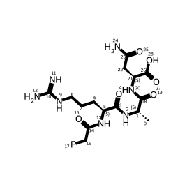 C[C@H](NC(=O)[C@H](CCCNC(=N)N)NC(=O)CF)C(=O)N[C@@H](CC(N)=O)C(=O)O